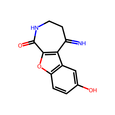 N=C1CCNC(=O)c2oc3ccc(O)cc3c21